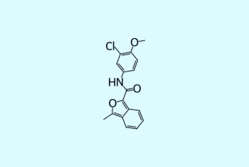 COc1ccc(NC(=O)c2oc(C)c3ccccc23)cc1Cl